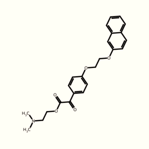 CN(C)CCOC(=O)C(=O)c1ccc(OCCOc2ccc3ccccc3c2)cc1